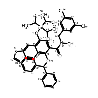 CC(C)[Si](Oc1cc(C(=O)N(C)Cc2cc(Cl)cc(Cl)c2)c(OC(c2ccccc2)c2ccccc2)c2nc3ncsc3cc12)(C(C)C)C(C)C